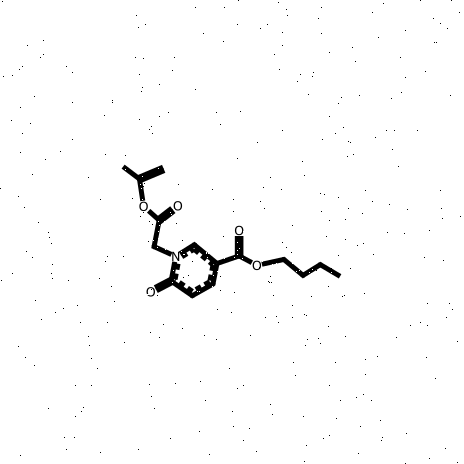 C=C(C)OC(=O)Cn1cc(C(=O)OCCCC)ccc1=O